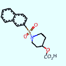 O=C(O)OC1CCN(S(=O)(=O)c2ccc3ccccc3c2)CC1